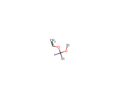 C=COC(I)(CC)OCC